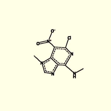 CNc1nc(Cl)c([N+](=O)[O-])c2c1ncn2C